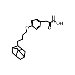 O=C(Cc1ccc(OCCCCC2C3CC4CC(C3)CC2C4)cc1)NO